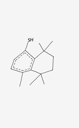 Cc1ccc(S)c2c1C(C)(C)CCC2(C)C